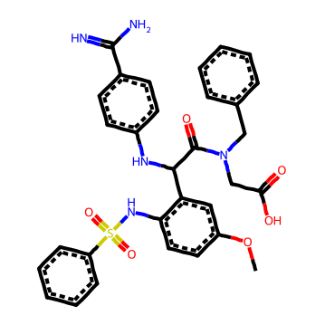 COc1ccc(NS(=O)(=O)c2ccccc2)c(C(Nc2ccc(C(=N)N)cc2)C(=O)N(CC(=O)O)Cc2ccccc2)c1